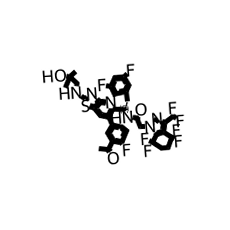 CC(=O)c1cc(-c2cc3sc(NCC(C)(C)O)nc3nc2[C@H](Cc2cc(F)cc(F)c2)NC(=O)Cn2nc(C(F)F)c3c2C(F)(F)CCC3(F)F)ccc1F